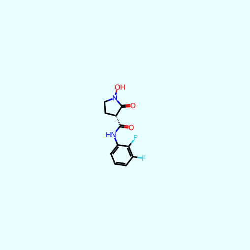 O=C(Nc1cccc(F)c1F)[C@@H]1CCN(O)C1=O